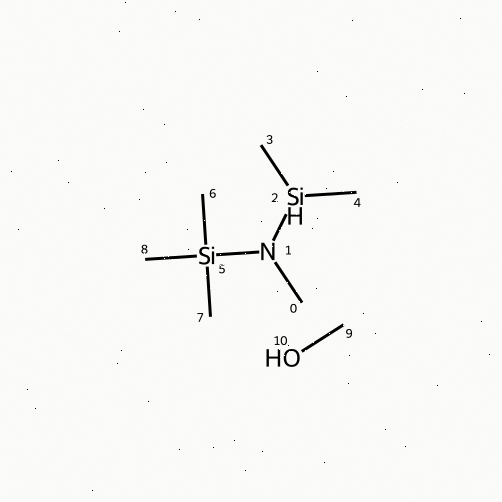 CN([SiH](C)C)[Si](C)(C)C.CO